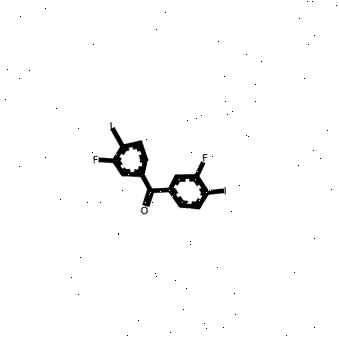 O=C(c1ccc(I)c(F)c1)c1ccc(I)c(F)c1